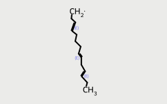 [CH2]C/C=C/CCC/C=C/C/C=C/CC